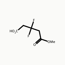 COC(=O)CC(F)(F)CC(=O)O